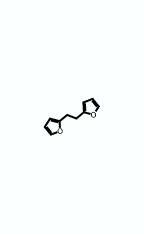 c1coc(CCc2ccco2)c1